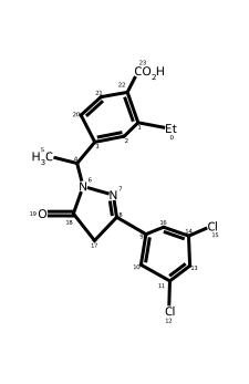 CCc1cc(C(C)N2N=C(c3cc(Cl)cc(Cl)c3)CC2=O)ccc1C(=O)O